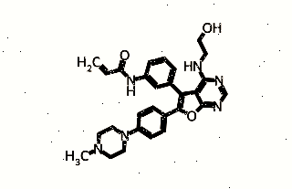 C=CC(=O)Nc1cccc(-c2c(-c3ccc(N4CCN(C)CC4)cc3)oc3ncnc(NCCO)c23)c1